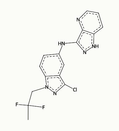 CC(F)(F)Cn1nc(Cl)c2cc(Nc3n[nH]c4cccnc34)ccc21